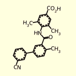 Cc1ccc(-c2cccc(C#N)c2)cc1C(=O)Nc1c(C)cc(C(=O)O)cc1C